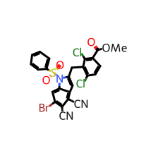 COC(=O)c1ccc(Cl)c(Cc2cc3c(C#N)c(C#N)c(Br)cc3n2S(=O)(=O)c2ccccc2)c1Cl